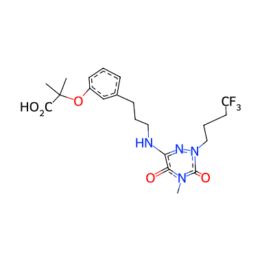 Cn1c(=O)c(NCCCc2cccc(OC(C)(C)C(=O)O)c2)nn(CCCC(F)(F)F)c1=O